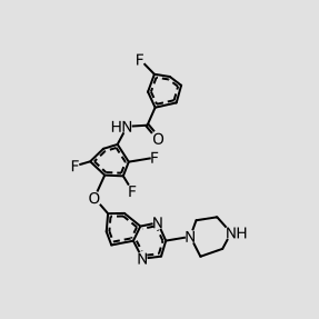 O=C(Nc1cc(F)c(Oc2ccc3ncc(N4CCNCC4)nc3c2)c(F)c1F)c1cccc(F)c1